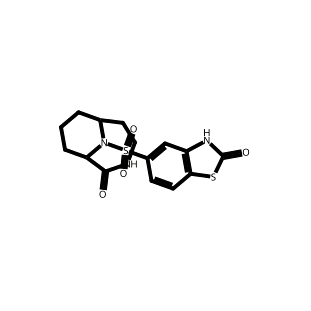 O=C1NCCC2CCCC1N2S(=O)(=O)c1ccc2sc(=O)[nH]c2c1